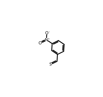 O=[N+]([O-])c1cccc(C=S)c1